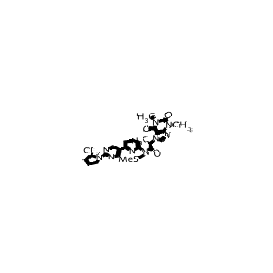 CSCN(C(=O)[C@H](C)n1cnc2c1c(=O)n(C)c(=O)n2C)c1cccc(-c2cnc(N3CCC[C@H]3C(F)(F)F)nc2)n1